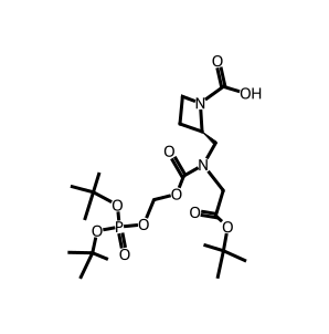 CC(C)(C)OC(=O)CN(C[C@H]1CCN1C(=O)O)C(=O)OCOP(=O)(OC(C)(C)C)OC(C)(C)C